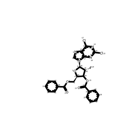 O=C(OC[C@H]1O[C@@H](n2cnc3c(Cl)nc(Cl)nc32)[C@H](F)C1OC(=O)c1ccccc1)c1ccccc1